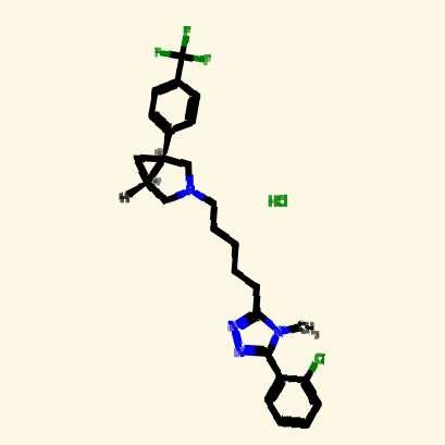 Cl.Cn1c(CCCCCN2C[C@@H]3C[C@]3(c3ccc(C(F)(F)F)cc3)C2)nnc1-c1ccccc1Cl